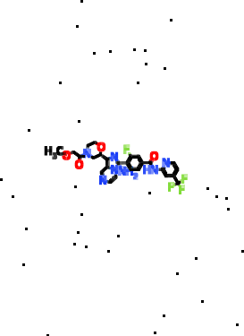 COCC(=O)N1CCO[C@@H](C2=C3C=NC=C[N+]3(N)C(c3ccc(C(=O)Nc4cc(C(F)(F)F)ccn4)cc3F)=N2)C1